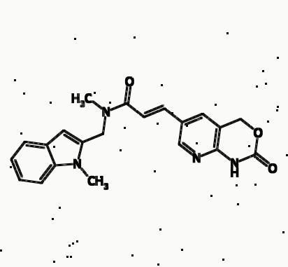 CN(Cc1cc2ccccc2n1C)C(=O)/C=C/c1cnc2c(c1)COC(=O)N2